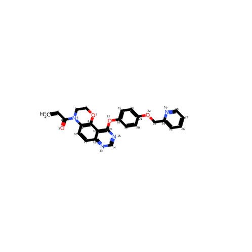 C=CC(=O)N1CCOc2c1ccc1ncnc(Oc3ccc(OCc4ccccn4)cc3)c21